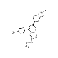 Cc1c2cc(N3C=C(c4ccc(Cl)cc4)c4nc(NCC(F)(F)F)ncc4C3)ccc2nn1C